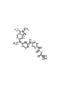 Cc1c2ccc(N(C)c3ccnc(Nc4ccc(NC(=O)CC(=O)NO)cc4)n3)cc2nn1C